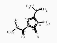 CN(C)c1nn(C(=O)N(Cl)C(C)(C)C)c(=O)n1C